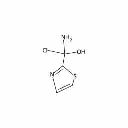 NC(O)(Cl)c1nccs1